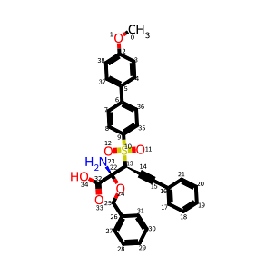 COc1ccc(-c2ccc(S(=O)(=O)[C@@H](C#Cc3ccccc3)[C@](N)(OCc3ccccc3)C(=O)O)cc2)cc1